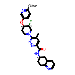 COc1ccc(O[C@@H]2CCN(c3nnc(C(=O)N[C@@H]4CCc5ncccc5C4)cc3C)C[C@@H]2F)cn1